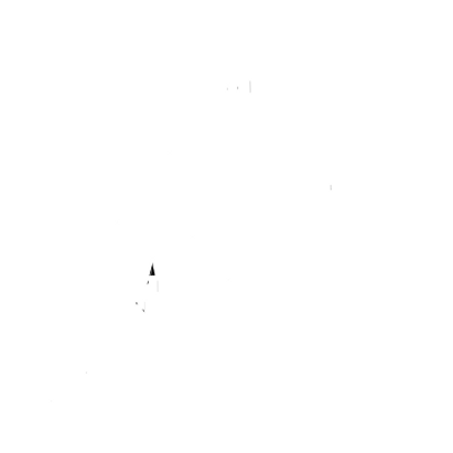 COc1cc2c3c(c1)-c1c(O)cccc1C[C@H]3N(CC1CC1)CC2